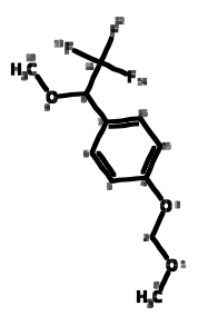 COCOc1ccc(C(OC)C(F)(F)F)cc1